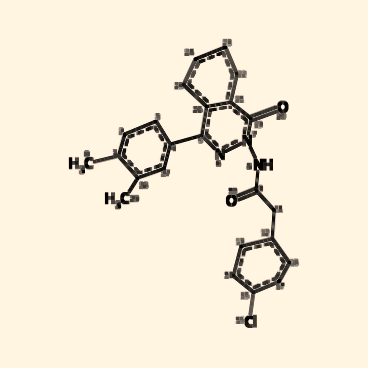 Cc1ccc(-c2nn(NC(=O)Cc3ccc(Cl)cc3)c(=O)c3ccccc23)cc1C